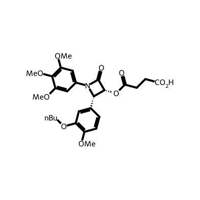 CCCCOc1cc([C@H]2[C@@H](OC(=O)CCC(=O)O)C(=O)N2c2cc(OC)c(OC)c(OC)c2)ccc1OC